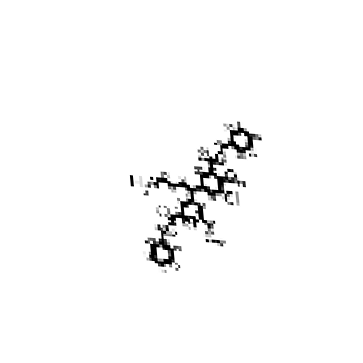 C=C(/C=C(C[C@H](Cl)COC)/C(=C\CCN)c1cc(Cl)c(OC)c(C(=O)OCc2ccccc2)c1)C(=O)OCc1ccccc1